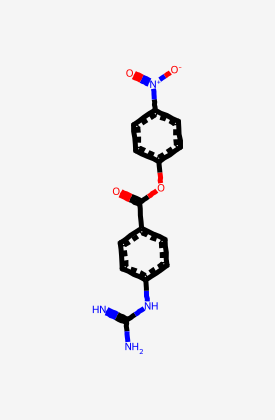 N=C(N)Nc1ccc(C(=O)Oc2ccc([N+](=O)[O-])cc2)cc1